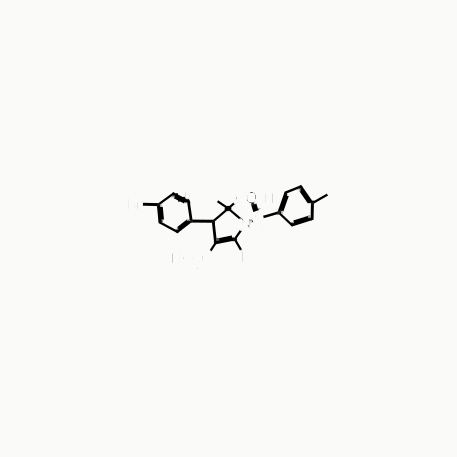 Cc1ccc(S(=O)(=O)N2C(F)=C(C(=O)O)C(c3ccc(Br)cc3)C2(C(=O)O)C(=O)O)cc1